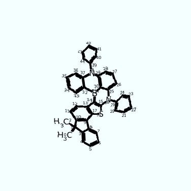 CC1(C)c2ccccc2-c2c1ccc1c3c(sc21)N(c1ccccc1)c1cccc2c1B3c1ccccc1N2c1ccccc1